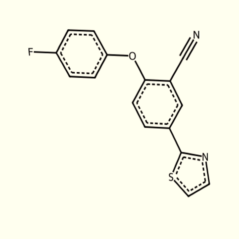 N#Cc1cc(-c2nccs2)ccc1Oc1ccc(F)cc1